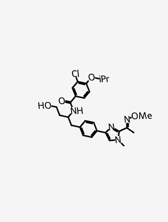 CON=C(C)c1nc(-c2ccc(CC(CCO)NC(=O)c3ccc(OC(C)C)c(Cl)c3)cc2)cn1C